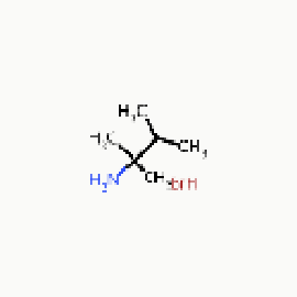 Br.CC(C)C(C)(C)N